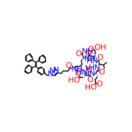 CC(=O)N[C@@H](CC(=O)O)C(=O)N[C@@H](CCC(=O)O)C(=O)N[C@H](C(=O)N[C@@H](CC(=O)O)C(=O)N[C@@H](CCCCNC(=O)CCCc1cn(Cc2ccc(C(=C(c3ccccc3)c3ccccc3)c3ccccc3)cc2)nn1)C(N)=O)C(C)C